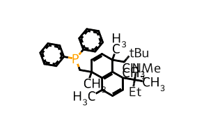 CCC(C)(NC)C1(C)C=CC(C)C2=C1C(C)(C(C)C(C)(C)C)C=CC2(C)CP(c1ccccc1)c1ccccc1